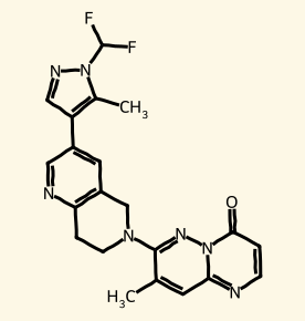 Cc1cc2nccc(=O)n2nc1N1CCc2ncc(-c3cnn(C(F)F)c3C)cc2C1